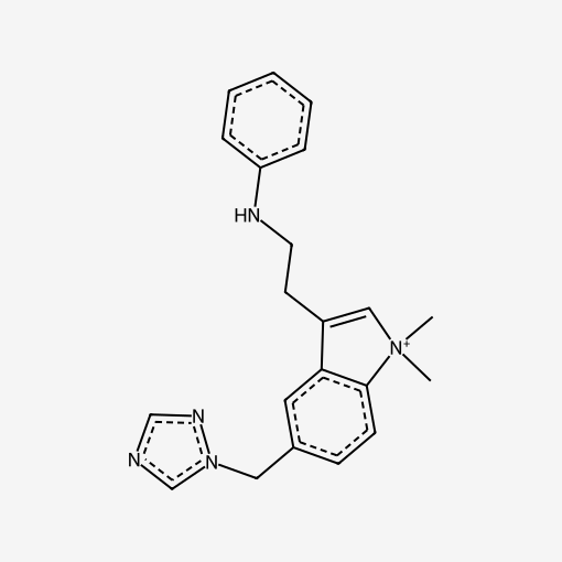 C[N+]1(C)C=C(CCNc2ccccc2)c2cc(Cn3cncn3)ccc21